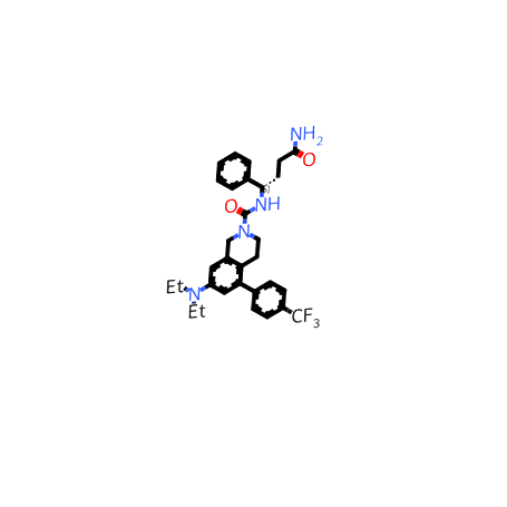 CCN(CC)c1cc2c(c(-c3ccc(C(F)(F)F)cc3)c1)CCN(C(=O)N[C@@H](CCC(N)=O)c1ccccc1)C2